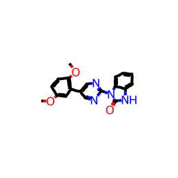 COc1ccc(OC)c(-c2cnc(-n3c(=O)[nH]c4ccccc43)nc2)c1